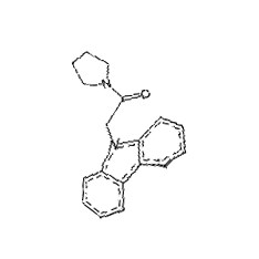 O=C(Cn1c2ccccc2c2ccccc21)N1CCCC1